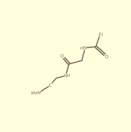 CCC(=O)NCC(=O)NCCNC